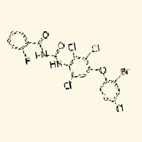 O=C(NC(=O)c1ccccc1F)Nc1c(Cl)cc(Oc2ccc(Cl)cc2Br)c(Cl)c1Cl